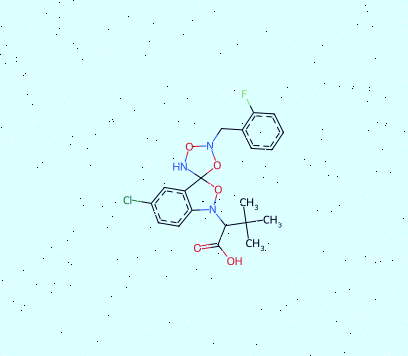 CC(C)(C)C(C(=O)O)N1OC2(NON(Cc3ccccc3F)O2)c2cc(Cl)ccc21